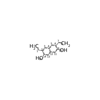 C=Cc1cc2cc(C=C)c(O)cc2cc1O